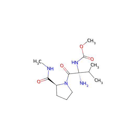 CNC(=O)[C@@H]1CCCN1C(=O)[C@@](N)(NC(=O)OC)C(C)C